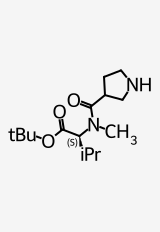 CC(C)[C@@H](C(=O)OC(C)(C)C)N(C)C(=O)C1CCNC1